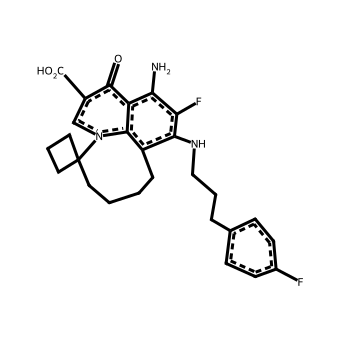 Nc1c(F)c(NCCCc2ccc(F)cc2)c2c3c1c(=O)c(C(=O)O)cn3C1(CCCC2)CCC1